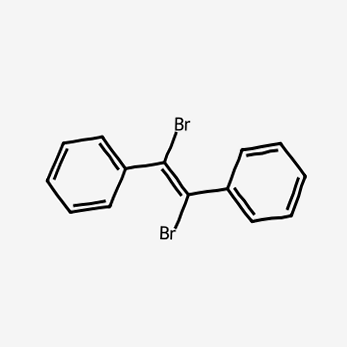 BrC(=C(Br)c1ccccc1)c1ccccc1